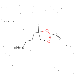 C=CC(=O)OC(C)(C)CCCCCCCCC